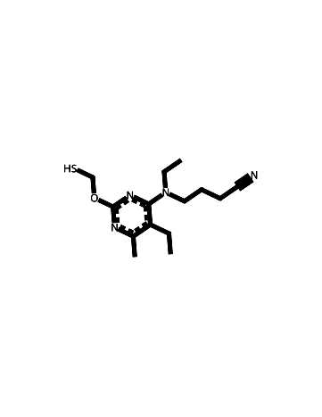 CCc1c(C)nc(OCS)nc1N(CC)CCCC#N